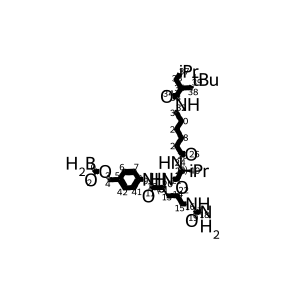 BC(=O)OCc1ccc(NC(=O)[C@H](CCCNC(N)=O)NC(=O)[C@@H](NC(=O)CCCCCNC(=O)C(CC(C)C)CC(C)(C)C)C(C)C)cc1